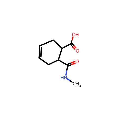 CNC(=O)C1CC=CCC1C(=O)O